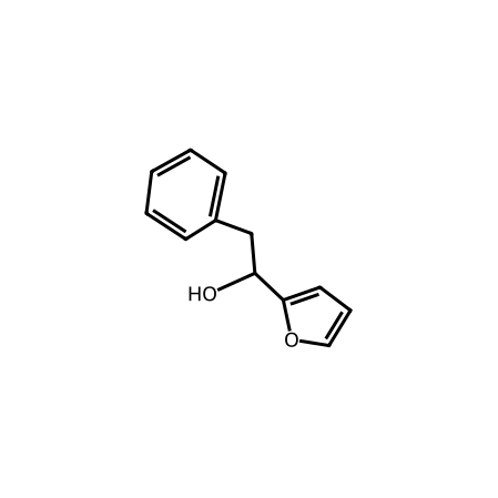 OC(Cc1ccccc1)c1ccco1